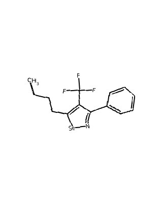 CCCCc1[se]nc(-c2ccccc2)c1C(F)(F)F